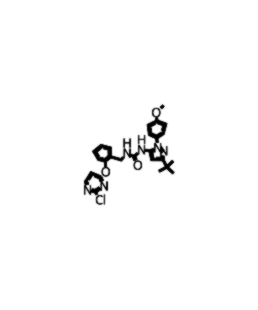 COc1ccc(-n2nc(C(C)(C)C)cc2NC(=O)NCc2ccccc2Oc2ccnc(Cl)n2)cc1